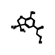 CCSCC(=O)c1cc(C(C)(C)C)c2c(c1)C(C)(C)CO2